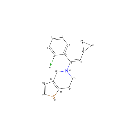 Fc1ccccc1/C(=C\C1CC1)N1CCc2sccc2C1